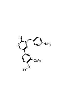 CCOc1ccc(C2=NN(Cc3ccc(N)cc3)C(=O)SC2)cc1OC